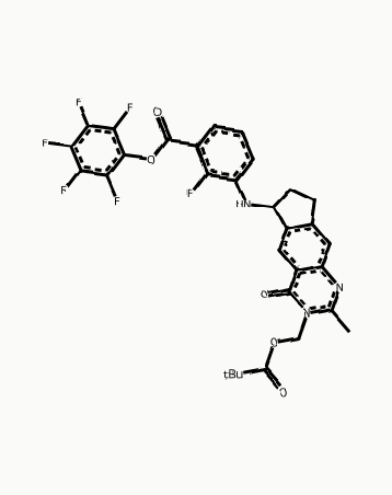 Cc1nc2cc3c(cc2c(=O)n1COC(=O)C(C)(C)C)C(Nc1cccc(C(=O)Oc2c(F)c(F)c(F)c(F)c2F)c1F)CC3